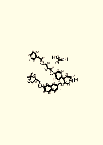 CC1(C)OCC(COc2ccc3ccc(COC4CNCCC4c4ccc(OCCCOCc5ccccc5)cc4)cc3c2)O1.O=C(O)O